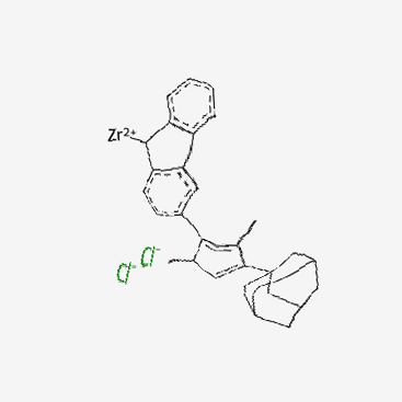 CC1=C(c2ccc3c(c2)-c2ccccc2[CH]3[Zr+2])C(C)C=C1C12CC3CC(CC(C3)C1)C2.[Cl-].[Cl-]